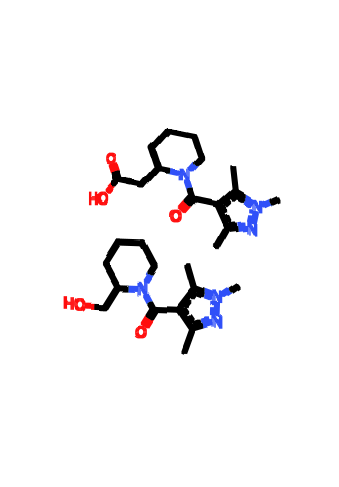 Cc1nn(C)c(C)c1C(=O)N1CCCCC1CC(=O)O.Cc1nn(C)c(C)c1C(=O)N1CCCCC1CO